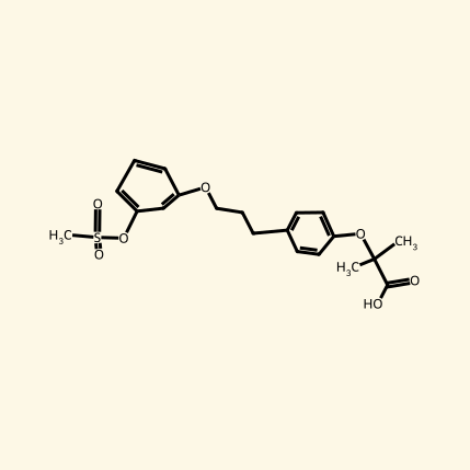 CC(C)(Oc1ccc(CCCOc2cccc(OS(C)(=O)=O)c2)cc1)C(=O)O